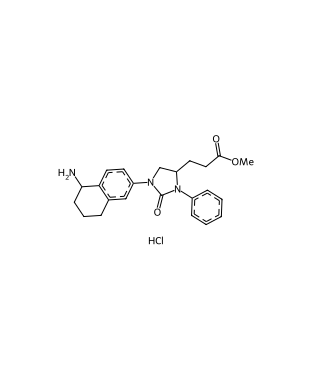 COC(=O)CCC1CN(c2ccc3c(c2)CCCC3N)C(=O)N1c1ccccc1.Cl